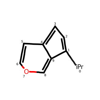 [CH2]C(C)c1ccc2ccocc1-2